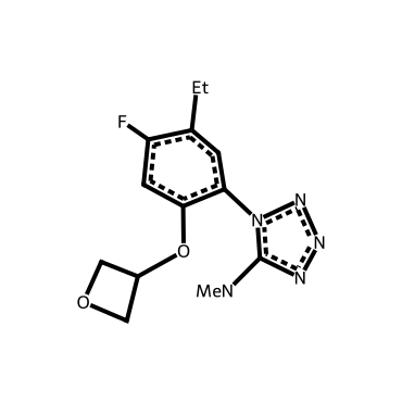 CCc1cc(-n2nnnc2NC)c(OC2COC2)cc1F